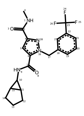 CNC(=O)c1cc(C(=O)NC2C3CCCC32)n(Cc2cccc(C(F)(F)F)c2)n1